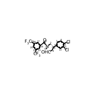 CN(C[C@@H](CC=O)c1ccc(Cl)c(Cl)c1)C(=O)c1cc(C(F)(F)F)cc(C(F)(F)F)c1